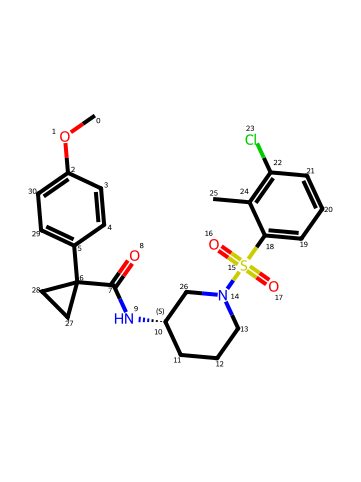 COc1ccc(C2(C(=O)N[C@H]3CCCN(S(=O)(=O)c4cccc(Cl)c4C)C3)CC2)cc1